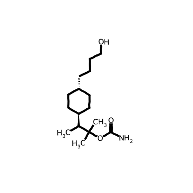 CC([C@H]1CC[C@H](CCCCO)CC1)C(C)(C)OC(N)=O